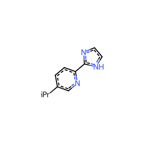 CC(C)c1ccc(-c2ncc[nH]2)nc1